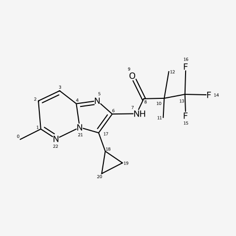 Cc1ccc2nc(NC(=O)C(C)(C)C(F)(F)F)c(C3CC3)n2n1